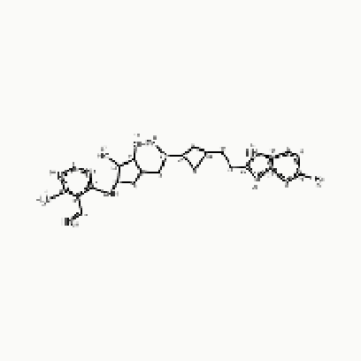 CC(C)N(CC1CC(Nc2ncnc(N)c2C=N)C(O)C1O)C1CC(CCc2nc3cc(C(C)(C)C)ccc3[nH]2)C1